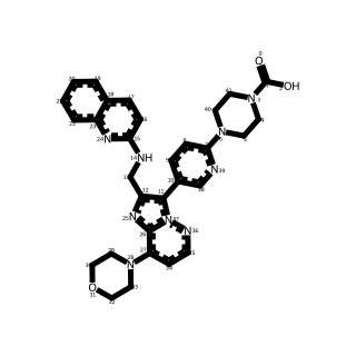 O=C(O)N1CCN(c2ccc(-c3c(CNc4ccc5ccccc5n4)nc4c(N5CCOCC5)ccnn34)cn2)CC1